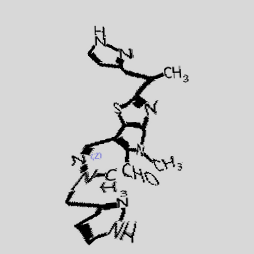 CC(c1cc[nH]n1)c1nc2c(s1)c(/C=N\N(C)Cc1cc[nH]n1)c(C=O)n2C